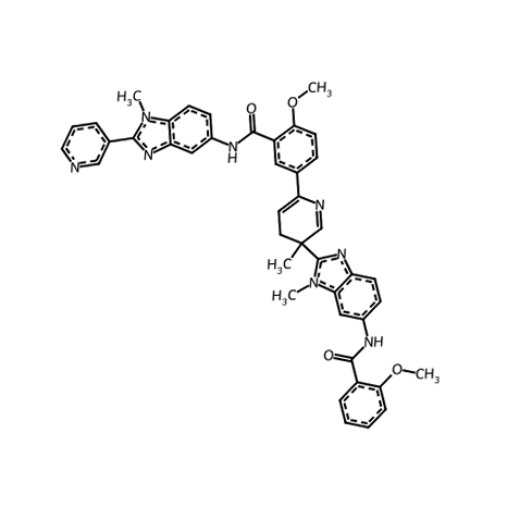 COc1ccccc1C(=O)Nc1ccc2nc(C3(C)C=NC(c4ccc(OC)c(C(=O)Nc5ccc6c(c5)nc(-c5cccnc5)n6C)c4)=CC3)n(C)c2c1